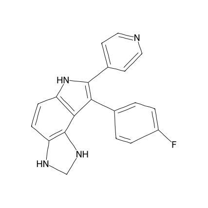 Fc1ccc(-c2c(-c3ccncc3)[nH]c3ccc4c(c23)NCN4)cc1